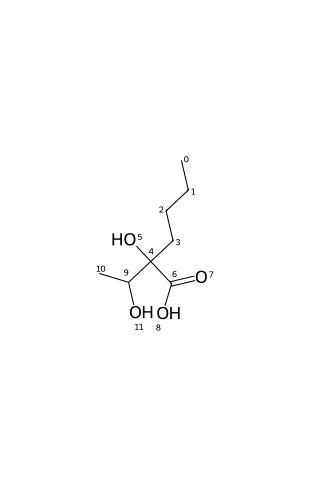 CCCCC(O)(C(=O)O)C(C)O